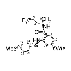 C=C(CCC(F)(F)F)NC(=O)c1ccc(OC)cc1NSc1ccc(SC)cc1